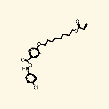 C=CC(=O)OCCCCCCCCOc1ccc(C(=O)ONc2ccc(Cl)cc2)cc1